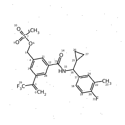 C=C(c1cc(COS(C)(=O)=O)cc(C(=O)NC(c2ccc(F)c(C)c2)C2CC2)c1)C(F)(F)F